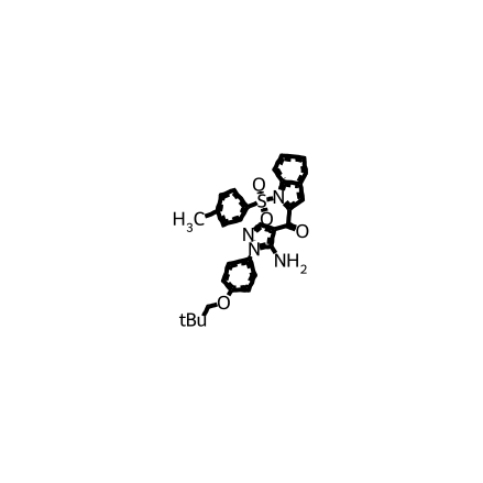 Cc1ccc(S(=O)(=O)n2c(C(=O)c3cnn(-c4ccc(OCC(C)(C)C)cc4)c3N)cc3ccccc32)cc1